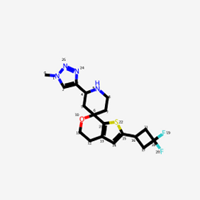 Cn1cc(C2CC3(CCN2)OCCc2cc(C4CC(F)(F)C4)sc23)nn1